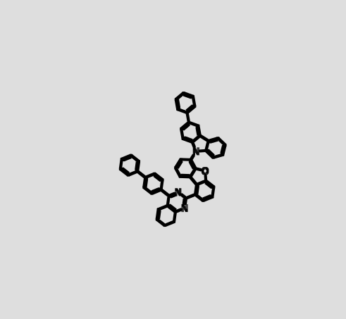 C1=Cc2c(nc(-c3cccc4oc5c(-n6c7ccccc7c7cc(-c8ccccc8)ccc76)cccc5c34)nc2-c2ccc(-c3ccccc3)cc2)CC1